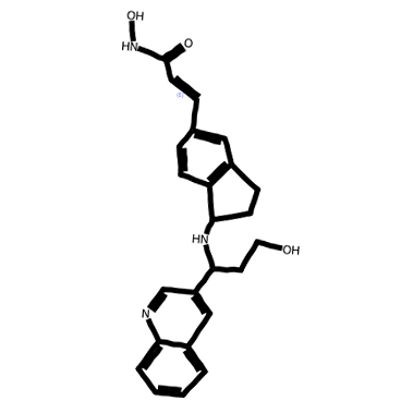 O=C(/C=C/c1ccc2c(c1)CCC2NC(CCO)c1cnc2ccccc2c1)NO